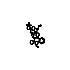 C=CCOC(=O)N(C=C(Cc1ccccc1)C(=O)OCC)CC(=O)OC(C)(C)C